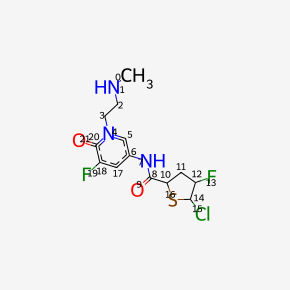 CNCCn1cc(NC(=O)C2CC(F)C(Cl)S2)cc(F)c1=O